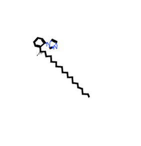 CCCCCCCCCCCCCCCCCC[C@H](C)c1ccccc1-n1ccnc1